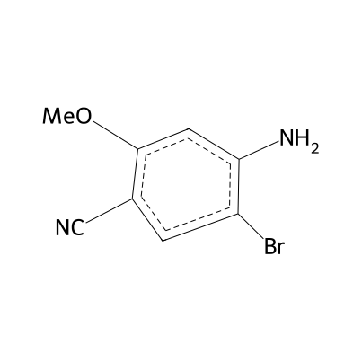 COc1cc(N)c(Br)cc1C#N